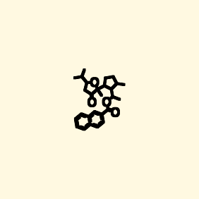 CC(C)C1CC(=O)C(C)(C2CCC(C)C2C(C)OC(=O)c2ccc3ccccc3c2)O1